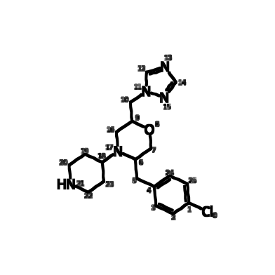 Clc1ccc(CC2COC(Cn3cncn3)CN2C2CCNCC2)cc1